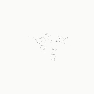 COc1ccc(C(OC[C@H]2O[C@@H](n3cc(C)c(=O)[nH]c3=O)CC2OC(=O)Oc2ccc(Cl)cc2)(c2ccccc2)c2ccc(OCCCO)cc2)cc1